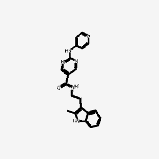 Cc1[nH]c2ccccc2c1CCNC(=O)c1cnc(Nc2ccncc2)nc1